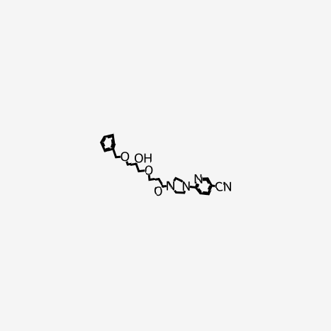 N#Cc1ccc(N2CCN(C(=O)CCOCC(O)COCc3ccccc3)CC2)nc1